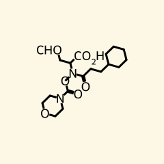 O=CCC(C(=O)O)N(OC(=O)N1CCOCC1)C(=O)CCC1CCCCC1